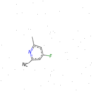 Cc1cc(F)cc(C#N)n1